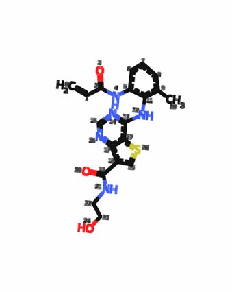 C=CC(=O)Nc1cccc(C)c1Nc1ncnc2c(C(=O)NCCO)csc12